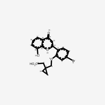 O=C(O)CC1(COc2cc(Br)ccc2-c2cc(=O)c3cccc(Cl)c3o2)CC1